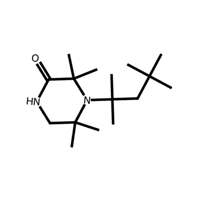 CC(C)(C)CC(C)(C)N1C(C)(C)CNC(=O)C1(C)C